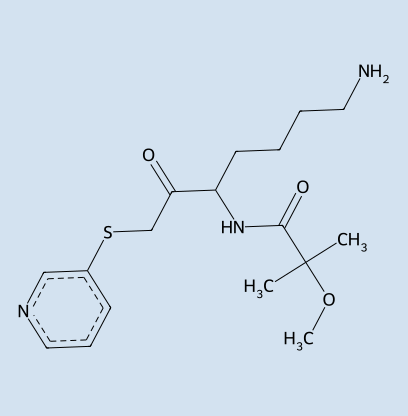 COC(C)(C)C(=O)NC(CCCCN)C(=O)CSc1cccnc1